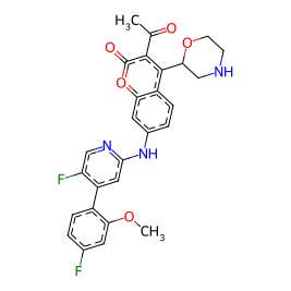 COc1cc(F)ccc1-c1cc(Nc2ccc3c(C4CNCCO4)c(C(C)=O)c(=O)oc3c2)ncc1F